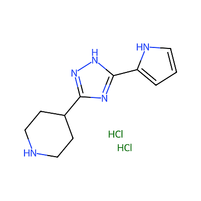 Cl.Cl.c1c[nH]c(-c2nc(C3CCNCC3)n[nH]2)c1